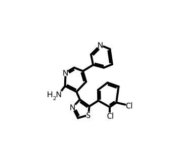 Nc1ncc(-c2cccnc2)cc1-c1ncsc1-c1cccc(Cl)c1Cl